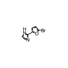 Brc1ccc(-c2ncc[nH]2)o1